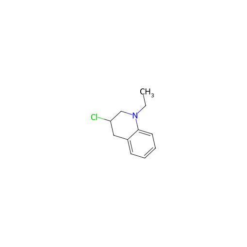 CCN1CC(Cl)Cc2ccccc21